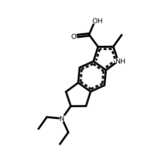 CCN(CC)C1Cc2cc3[nH]c(C)c(C(=O)O)c3cc2C1